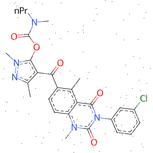 CCCN(C)C(=O)Oc1c(C(=O)c2ccc3c(c2C)c(=O)n(-c2cccc(Cl)c2)c(=O)n3C)c(C)nn1C